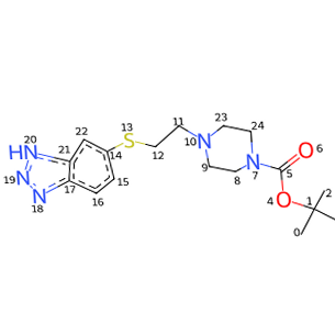 CC(C)(C)OC(=O)N1CCN(CCSc2ccc3nn[nH]c3c2)CC1